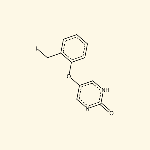 O=c1ncc(Oc2ccccc2CI)c[nH]1